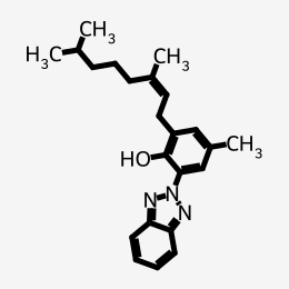 CC(=CCc1cc(C)cc(-n2nc3ccccc3n2)c1O)CCCC(C)C